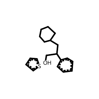 OCC(CC1CCCCC1)c1ccccc1.c1ccsc1